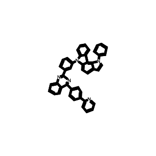 c1ccc(-n2ccc3ccc4c(c5ccccc5n4-c4cccc(-c5nc(-c6ccc(-c7ccccn7)cc6)c6ccccc6n5)c4)c32)cc1